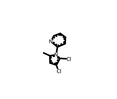 Cc1cc(Cl)c(Cl)n1-c1ccccn1